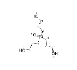 O=P(CCCO)(CCCO)CCCO